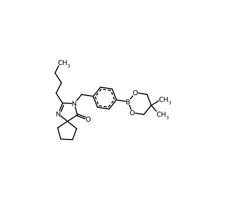 CCCCC1=NC2(CCCC2)C(=O)N1Cc1ccc(B2OCC(C)(C)CO2)cc1